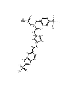 NS(=O)(=O)c1nc2ccc(OCc3cn(CC(=O)N(CC(=O)O)Cc4ccc(C(F)(F)F)cc4)nn3)cc2s1